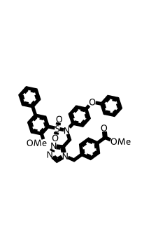 COC(=O)c1ccc(Cn2cnnc2CN(c2ccc(Oc3ccccc3)cc2)S(=O)(=O)c2cc(-c3ccccc3)ccc2OC)cc1